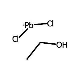 CCO.[Cl][Pb][Cl]